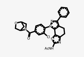 CC(=O)Nc1nc2c(s1)-c1c(c(-c3ccccc3)nn1-c1ccc(C(=O)N3CC4CC3CO4)cc1Cl)CC2